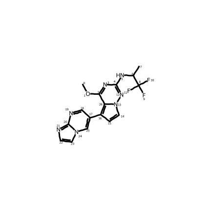 COc1nc(NC(C)C(F)(F)F)nn2ccc(-c3cnc4nccn4c3)c12